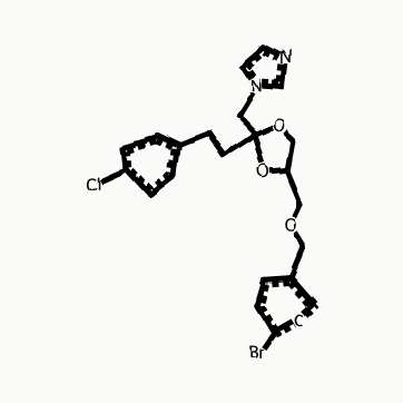 Clc1ccc(CCC2(Cn3ccnc3)OCC(COCc3ccc(Br)cc3)O2)cc1